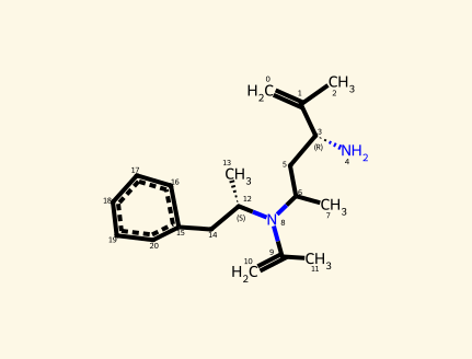 C=C(C)[C@H](N)CC(C)N(C(=C)C)[C@@H](C)Cc1ccccc1